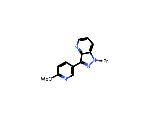 COc1ccc(-c2nn(C(C)C)c3cccnc23)cn1